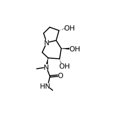 CNC(=O)N(C)[C@H]1CN2CC[C@H](O)C2[C@@H](O)[C@@H]1O